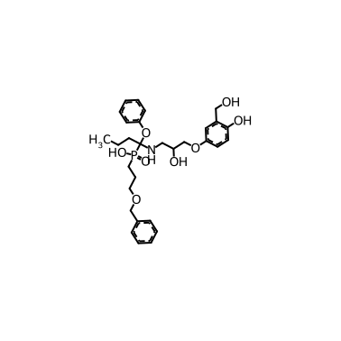 CCCC(NCC(O)COc1ccc(O)c(CO)c1)(Oc1ccccc1)P(=O)(O)CCCOCc1ccccc1